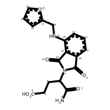 NC(=O)C(CCC(=O)O)N1C(=O)c2cccc(NCc3ccco3)c2C1=O